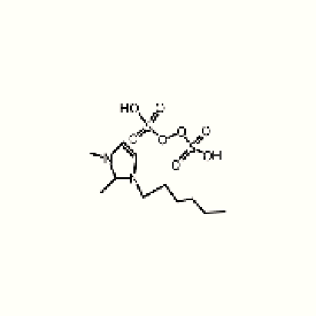 CCCCCCN1C=CN(C)C1C.O=S(=O)(O)OOS(=O)(=O)O